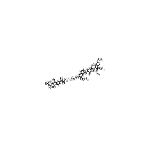 CCc1ccc2c(c1)c(=O)c(C(=O)Nc1ccc(Oc3ncnc4cc(OCCCCCCCC(=O)Nc5ccc6c(c5)C(=O)N(C5CCC(=O)NC5=O)C6=O)c(OC)cc34)c(F)c1)c(C)n2C